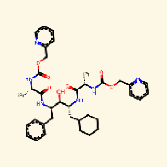 CC(C)[C@H](NC(=O)OCc1ccccn1)C(=O)N[C@H](Cc1ccccc1)[C@@H](O)[C@@H](CC1CCCCC1)NC(=O)[C@@H](NC(=O)OCc1ccccn1)C(C)C